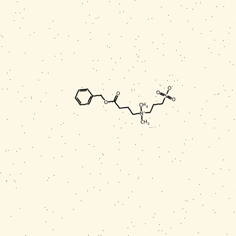 C[N+](C)(CCCC(=O)OCc1ccccc1)CCCS(=O)(=O)[O-]